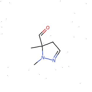 CN1N=CCC1(C)C=O